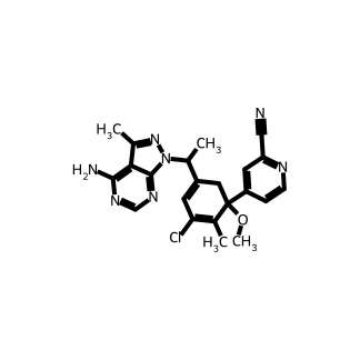 COC1(c2ccnc(C#N)c2)CC(C(C)n2nc(C)c3c(N)ncnc32)=CC(Cl)=C1C